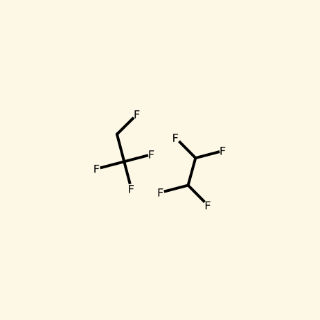 FC(F)C(F)F.FCC(F)(F)F